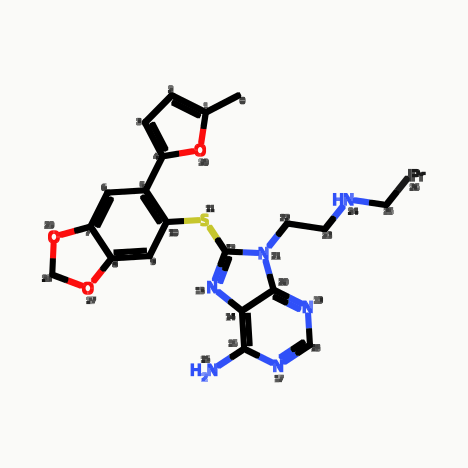 Cc1ccc(-c2cc3c(cc2Sc2nc4c(N)ncnc4n2CCNCC(C)C)OCO3)o1